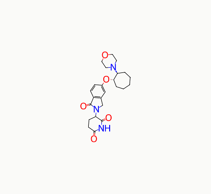 O=C1CCC(N2Cc3cc(O[C@H]4CCCCC[C@@H]4N4CCOCC4)ccc3C2=O)C(=O)N1